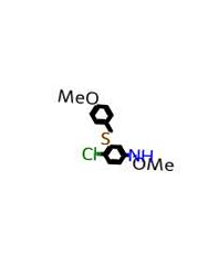 CONc1ccc(Cl)c(SCc2ccc(OC)cc2)c1